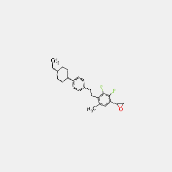 CCC1CCC(c2ccc(CCc3c(C)cc(C4CO4)c(F)c3F)cc2)CC1